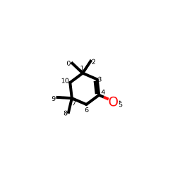 CC1(C)C=C([O])CC(C)(C)C1